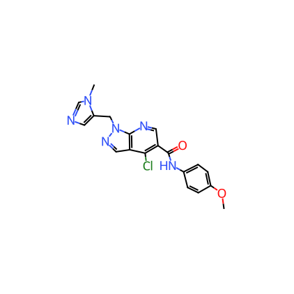 COc1ccc(NC(=O)c2cnc3c(cnn3Cc3cncn3C)c2Cl)cc1